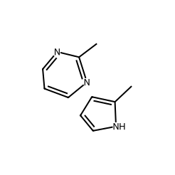 Cc1ccc[nH]1.Cc1ncccn1